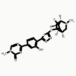 CN1C[C@H]2CC[C@@H]1[C@@H](F)[C@@H]2Oc1nnc(-c2ccc(-c3ncn(C)c(=O)n3)cc2O)s1